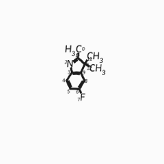 CC1=Nc2ccc(F)cc2C1(C)C